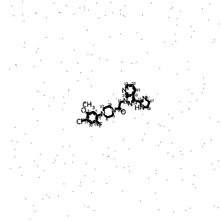 COc1cc(N2CCN(C(=O)Cn3nc(C4=NCCN4)c4cccnc43)CC2)c(F)cc1Cl